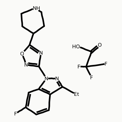 CCc1nn(-c2noc(C3CCNCC3)n2)c2cc(F)ccc12.O=C(O)C(F)(F)F